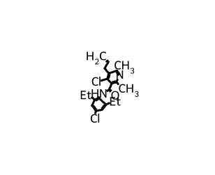 C=CCc1c(C)nc(C)c(C(=O)Nc2c(CC)cc(Cl)cc2CC)c1Cl